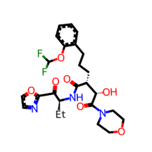 CC[C@H](NC(=O)[C@H](CCCc1ccccc1OC(F)F)[C@H](O)C(=O)N1CCOCC1)C(=O)c1ncco1